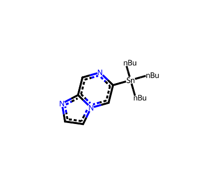 CCC[CH2][Sn]([CH2]CCC)([CH2]CCC)[c]1cn2ccnc2cn1